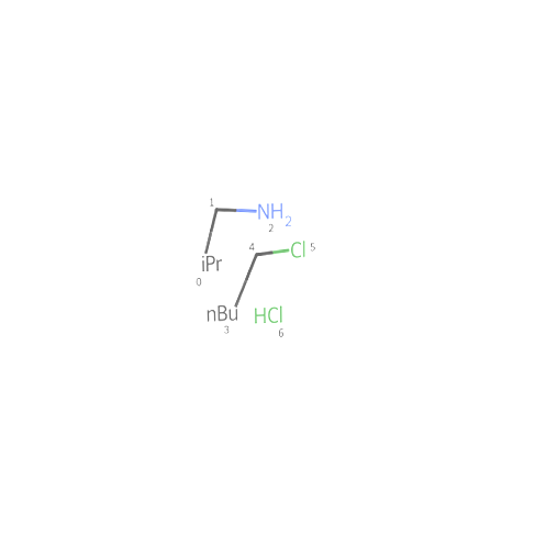 CC(C)CN.CCCCCCl.Cl